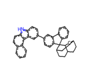 c1ccc2c(c1)-c1cc(-c3ccc4[nH]c5ccc6ccccc6c5c4c3)ccc1C21C2CCC3CCC(C2)CC31